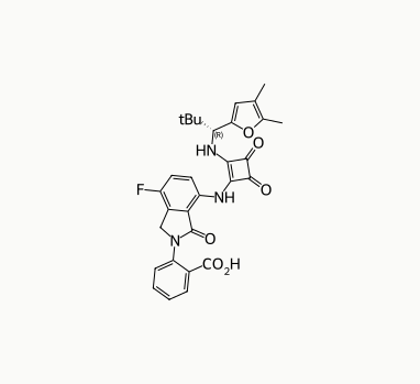 Cc1cc([C@H](Nc2c(Nc3ccc(F)c4c3C(=O)N(c3ccccc3C(=O)O)C4)c(=O)c2=O)C(C)(C)C)oc1C